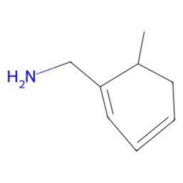 CC1CC=CC=C1CN